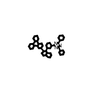 c1ccc(-c2nc(-c3ccccc3)nc(-c3cccc(-c4c(-c5ccc6c7ccccc7c7ccccc7c6c5)ccc5ccccc45)c3)n2)cc1